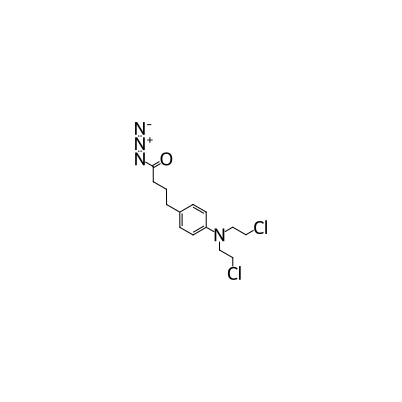 [N-]=[N+]=NC(=O)CCCc1ccc(N(CCCl)CCCl)cc1